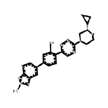 Cn1nc2cc(-c3ccc(-c4cnc(N5CCN[C@@H](C6CC6)C5)nn4)c(O)c3)cnc2n1